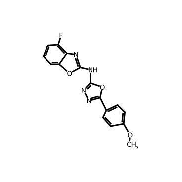 COc1ccc(-c2nnc(Nc3nc4c(F)cccc4o3)o2)cc1